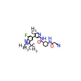 Cc1cnc(NC(=O)C2CCCC(NC(=O)CC#N)C2)cc1-c1cc(F)c2nn(C)c(C(C)C)c2c1